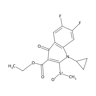 CCOC(=O)c1c([S+](C)[O-])n(C2CC2)c2cc(F)c(F)cc2c1=O